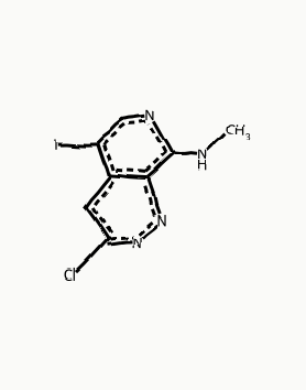 CNc1ncc(I)c2cc(Cl)nnc12